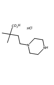 CC(C)(CCN1CCNCC1)C(=O)O.Cl